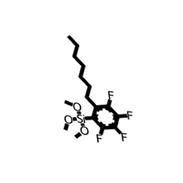 CCCCCCCc1c(F)c(F)c(F)c(F)c1[Si](OC)(OC)OC